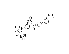 CN(Cc1ccccc1B(O)O)c1ccc2c(C(=O)N3CCC(c4cccc(CN)c4)CC3)cc(=O)oc2c1